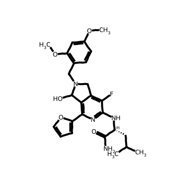 COc1ccc(CN2Cc3c(F)c(N[C@H](CC(C)C)C(N)=O)nc(-c4ccco4)c3C2O)c(OC)c1